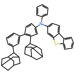 c1ccc(N(c2ccc(-c3cccc(C4C5CC6CC(C5)CC4C6)c3)c(C3C4CC5CC(C4)CC3C5)c2)c2ccc3c(c2)sc2ccccc23)cc1